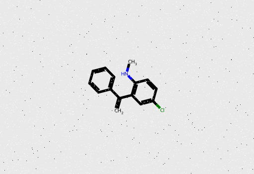 C=C(c1ccccc1)c1cc(Cl)ccc1NC